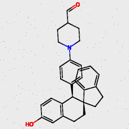 O=CC1CCN(c2ccc([C@@H]3c4ccc(O)cc4CC[C@@]34CCc3ccccc34)cc2)CC1